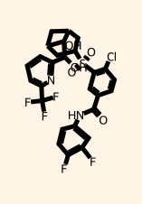 O=C(Nc1ccc(F)c(F)c1)c1ccc(Cl)c(S(=O)(=O)C2CC3CC(C2)C3(O)C(O)c2cccc(C(F)(F)F)n2)c1